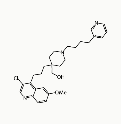 COc1ccc2ncc(Cl)c(CCCC3(CO)CCN(CCCCc4cccnc4)CC3)c2c1